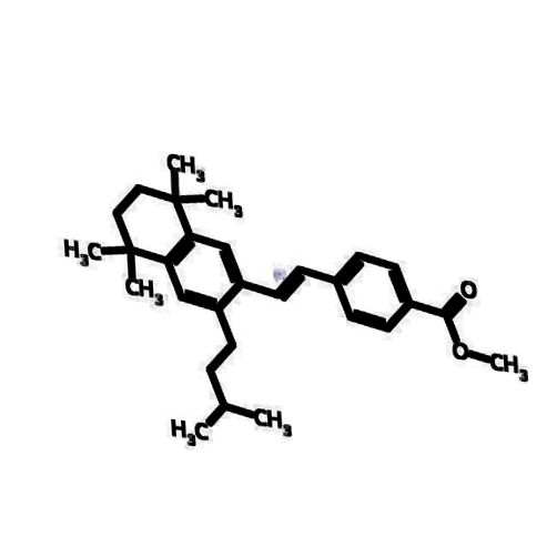 COC(=O)c1ccc(/C=C/c2cc3c(cc2CCC(C)C)C(C)(C)CCC3(C)C)cc1